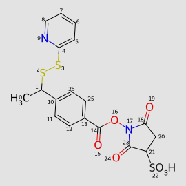 CC(SSc1ccccn1)c1ccc(C(=O)ON2C(=O)CC(S(=O)(=O)O)C2=O)cc1